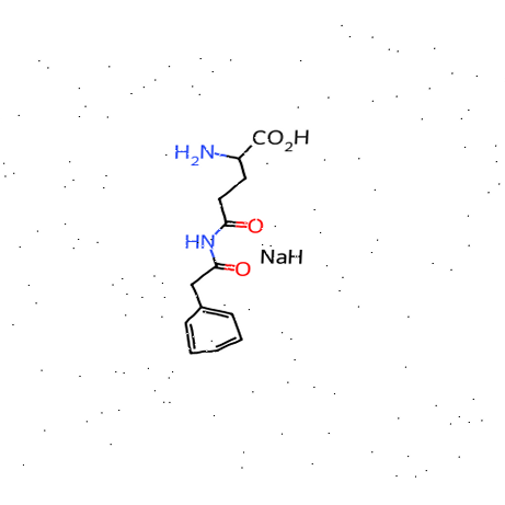 NC(CCC(=O)NC(=O)Cc1ccccc1)C(=O)O.[NaH]